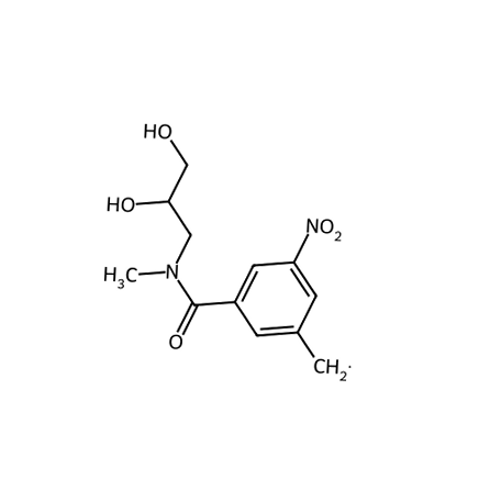 [CH2]c1cc(C(=O)N(C)CC(O)CO)cc([N+](=O)[O-])c1